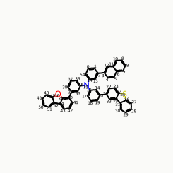 c1cc(-c2ccc3ccccc3c2)cc(N(c2cccc(-c3ccc4sc5ccccc5c4c3)c2)c2cccc(-c3cccc4c3oc3ccccc34)c2)c1